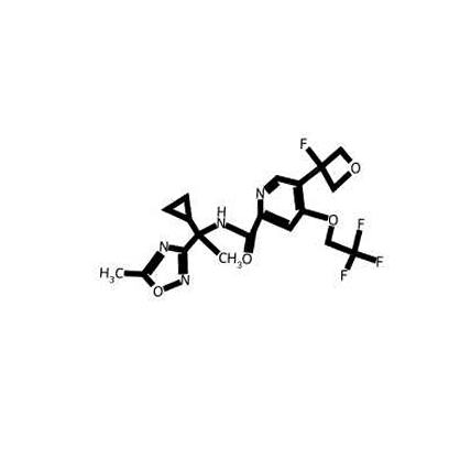 Cc1nc(C(C)(NC(=O)c2cc(OCC(F)(F)F)c(C3(F)COC3)cn2)C2CC2)no1